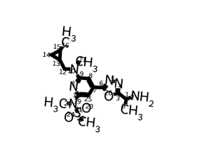 CC(N)c1nnc(-c2cc(N(C)CC3CC3C)nc(N(C)S(C)(=O)=O)c2)o1